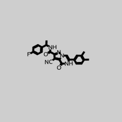 Cc1ccc(-c2cn3nc(C(=O)NC(C)c4ccc(F)cc4)c(C#N)c3c(=O)[nH]2)cc1C